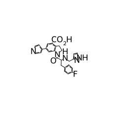 O=C(O)c1cc(-c2ccncc2)cc2c1CCN2C(=O)C(Cc1ccc(F)cc1)NCc1cc[nH]n1